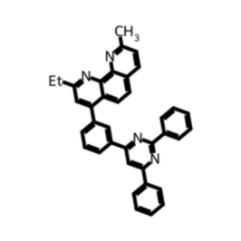 CCc1cc(-c2cccc(-c3cc(-c4ccccc4)nc(-c4ccccc4)n3)c2)c2ccc3ccc(C)nc3c2n1